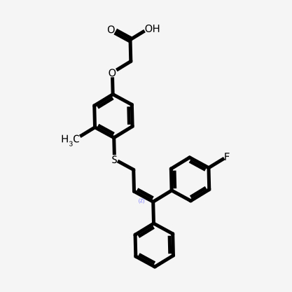 Cc1cc(OCC(=O)O)ccc1SC/C=C(/c1ccccc1)c1ccc(F)cc1